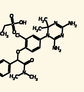 CCS(=O)(=O)O.CN(C)C(=O)C(Oc1ccc(N2C(N)=NC(N)=NC2(C)C)cc1Cl)c1ccccc1